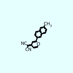 Cc1ccc2cc(C3=CC(=C(C#N)C#N)C=CO3)ccc2c1